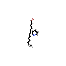 CCCCCCCCCCCCBr.c1ccncc1